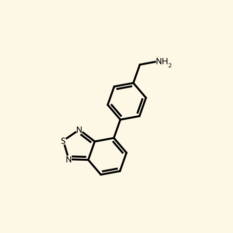 NCc1ccc(-c2cccc3nsnc23)cc1